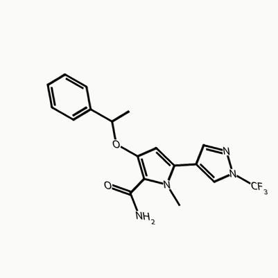 CC(Oc1cc(-c2cnn(C(F)(F)F)c2)n(C)c1C(N)=O)c1ccccc1